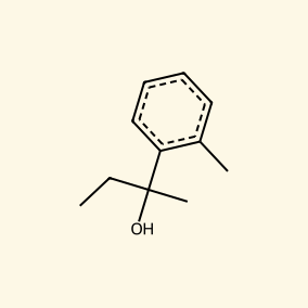 CCC(C)(O)c1ccccc1C